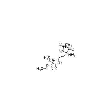 CCOC(=O)C([C]=O)(CC)NC(=O)CC[C@@](N)(NC(C)=O)C(=O)O